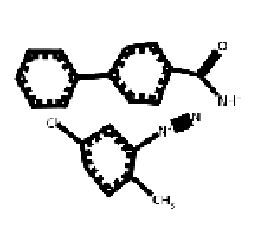 Cc1ccc(Cl)cc1[N+]#N.[NH-]C(=O)c1ccc(-c2ccccc2)cc1